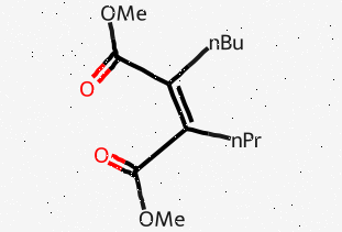 CCCC/C(C(=O)OC)=C(\CCC)C(=O)OC